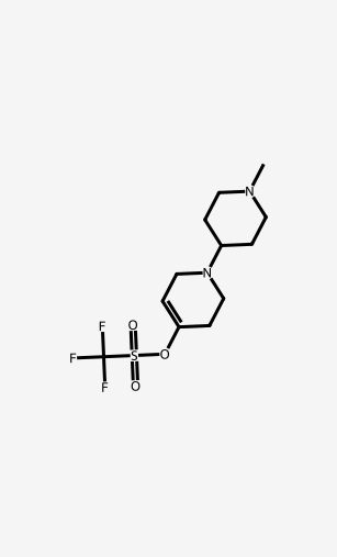 CN1CCC(N2CC=C(OS(=O)(=O)C(F)(F)F)CC2)CC1